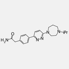 CC(C)N1CCCN(c2ccc(-c3ccc(CC(N)=O)cc3)nn2)CC1